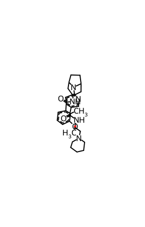 COc1cccc(C(=O)NC2CC3CCC(C2)N3c2ccc(C(=O)NCCN3CCCCC3)cn2)c1C